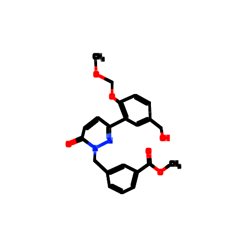 COCOc1ccc(CO)cc1-c1ccc(=O)n(Cc2cccc(C(=O)OC)c2)n1